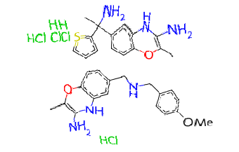 CC1=C(N)Nc2cc(C(C)(N)c3cccs3)ccc2O1.COc1ccc(CNCc2ccc3c(c2)NC(N)=C(C)O3)cc1.Cl.Cl.Cl.Cl